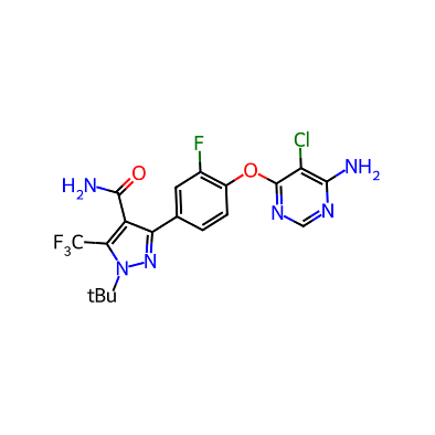 CC(C)(C)n1nc(-c2ccc(Oc3ncnc(N)c3Cl)c(F)c2)c(C(N)=O)c1C(F)(F)F